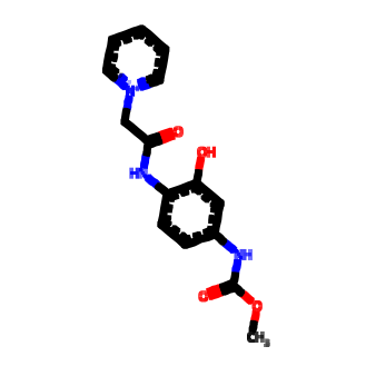 COC(=O)Nc1ccc(NC(=O)C[n+]2ccccc2)c(O)c1